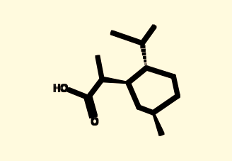 CC(C)[C@@H]1CC[C@@H](C)C[C@H]1C(C)C(=O)O